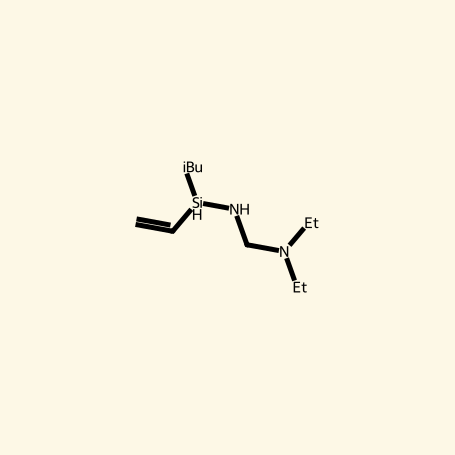 C=C[SiH](NCN(CC)CC)C(C)CC